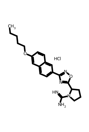 CCCCCOc1ccc2cc(-c3noc(C4CCCN4C(=N)N)n3)ccc2c1.Cl